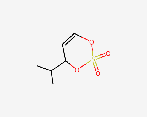 CC(C)C1C=COS(=O)(=O)O1